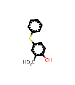 O=C(O)c1cc(Sc2ccccc2)ccc1O